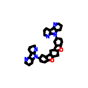 c1cnc2c(c1)c1ncccc1n2-c1ccc2oc3cc4oc5ccc(-n6c7cccnc7c7cccnc76)cc5c4cc3c2c1